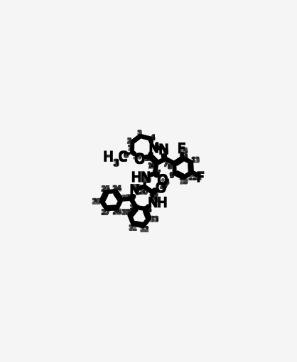 C[C@@H]1CCCn2nc(-c3ccc(F)cc3F)c(C(=O)N[C@H]3N=C(c4ccccc4)c4ccccc4NC3=O)c2O1